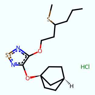 CCCC(CCOc1nsnc1O[C@]12CC[C@@H](CC1)C2)SC.Cl